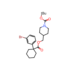 CC(C)(C)OC(=O)N1CCC(COC(=O)C2(c3cccc(Br)c3)CCCCC2)CC1